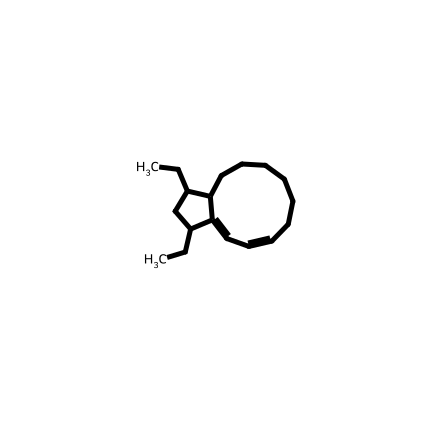 CCC1CC(CC)C2CCCCCCC=CC=C12